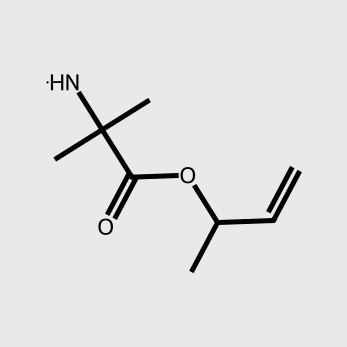 C=CC(C)OC(=O)C(C)(C)[NH]